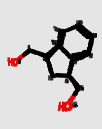 OCC1CC(CO)c2ccccc21